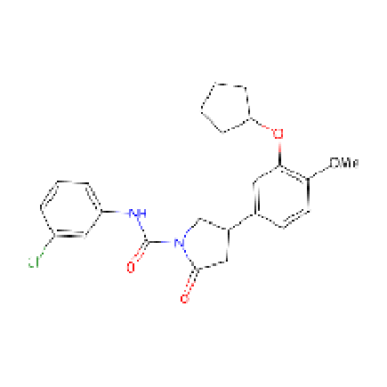 COc1ccc(C2CC(=O)N(C(=O)Nc3cccc(Cl)c3)C2)cc1OC1CCCC1